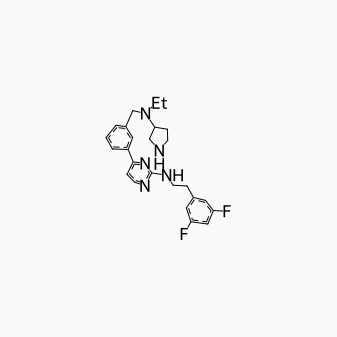 CCN(Cc1cccc(-c2ccnc(NCCc3cc(F)cc(F)c3)n2)c1)C1CCNC1